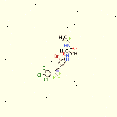 CC(F)(F)CNC(=O)C(C)(C)NC(=O)c1ccc(/C=C/C(c2cc(Cl)c(Cl)c(Cl)c2)C(F)(F)F)cc1Br